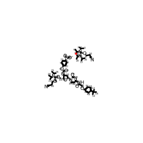 CC(C)N(C(C)C)P(OCCC#N)N(C(C)C)C(C)C.CC(C)N(C(C)C)P(OCCC#N)OC[C@H]1O[C@@H](n2ccc(NC(=O)COc3ccc(C(C)(C)C)cc3)nc2=O)C[C@@H]1OC(=O)Oc1ccc([N+](=O)[O-])cc1